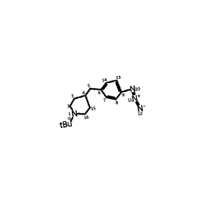 CC(C)(C)N1CCC(Cc2ccc(N=[N+]=[N-])cc2)CC1